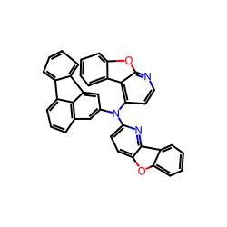 c1ccc2c(c1)-c1cccc3cc(N(c4ccc5oc6ccccc6c5n4)c4ccnc5oc6ccccc6c45)cc-2c13